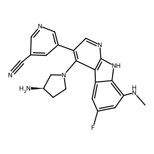 CNc1cc(F)cc2c1[nH]c1ncc(-c3cncc(C#N)c3)c(N3CC[C@@H](N)C3)c12